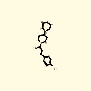 O=C(CCc1ccc(C(F)(F)F)cc1)N1CCC(N2CCCCC2)CC1